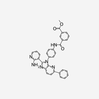 COC(=O)c1cccc(C(=O)Nc2ccc(-n3c(-c4cccnc4N)nc4ccc(-c5ccccc5)nc43)cc2)c1